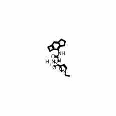 CCn1ccc(S(N)(=O)=NC(=O)Nc2c3c(cc4c2CC4)CCC3)n1